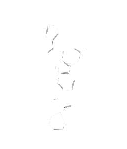 Cc1nc(C(=O)Nc2[nH]c3cc(N(C)C(=O)C4CCCCC4)ccc3c2CC(N)=O)cs1